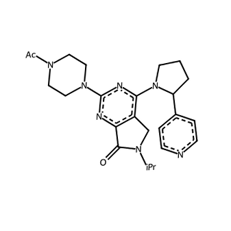 CC(=O)N1CCN(c2nc3c(c(N4CCCC4c4ccncc4)n2)CN(C(C)C)C3=O)CC1